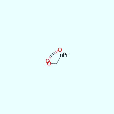 CCCC[O].O=C=O